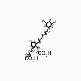 Cc1cc(C)cc(OCCCCCCc2cccc(OCCCC(=O)O)c2CCC(=O)O)c1